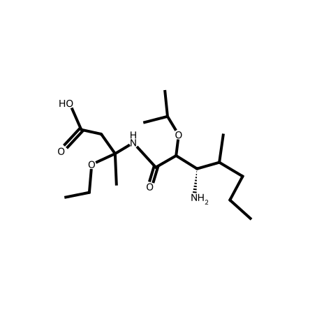 CCCC(C)[C@H](N)C(OC(C)C)C(=O)NC(C)(CC(=O)O)OCC